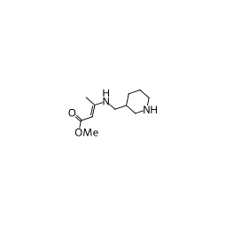 COC(=O)C=C(C)NCC1CCCNC1